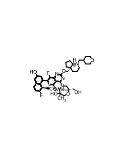 C#Cc1c(F)ccc2cc(O)cc(-c3nc(OC)c4c(N5C[C@H](CO)OC[C@@](C)(O)C5)nc(OC[C@]56CCC[C@H]5N(CC5CCOCC5)CCC6)nc4c3F)c12